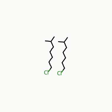 CC(C)CCCCCCl.CC(C)CCCCCCl